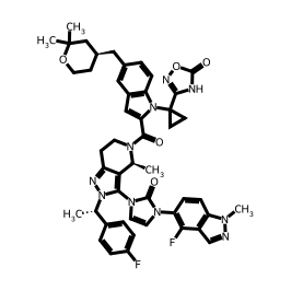 C[C@H]1c2c(nn([C@@H](C)c3ccc(F)cc3)c2-n2ccn(-c3ccc4c(cnn4C)c3F)c2=O)CCN1C(=O)c1cc2cc(C[C@H]3CCOC(C)(C)C3)ccc2n1C1(c2noc(=O)[nH]2)CC1